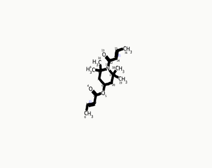 C/C=C/C(=O)OC1CC(C)(C)N(C(=O)/C=C/C)C(C)(C)C1